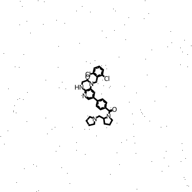 O=C1CNc2ncc(-c3ccc(C(=O)N4CCCC4CN4CCCC4)cc3)cc2N1Cc1c(Cl)cccc1Cl